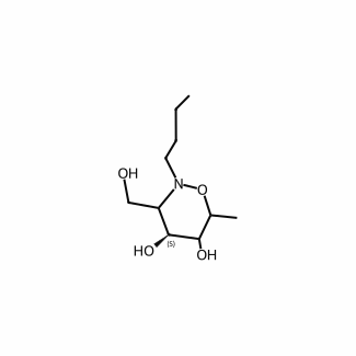 CCCCN1OC(C)C(O)[C@@H](O)C1CO